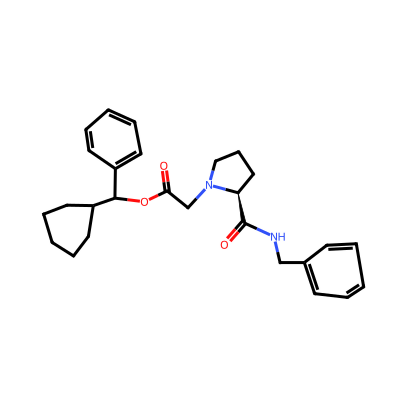 O=C(CN1CCC[C@H]1C(=O)NCc1ccccc1)OC(c1ccccc1)C1CCCCC1